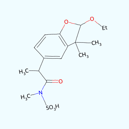 CCOC1Oc2ccc(C(C)C(=O)N(C)S(=O)(=O)O)cc2C1(C)C